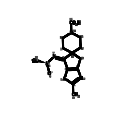 Cc1nc2c(s1)/C(=N\[S@+]([O-])C(C)(C)C)C1(CCN(C(=O)O)CC1)C2